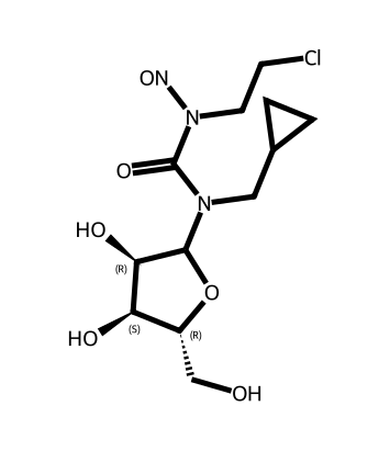 O=NN(CCCl)C(=O)N(CC1CC1)C1O[C@H](CO)[C@@H](O)[C@H]1O